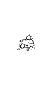 CC1(C)CON(Cc2ccccc2Cl)C1=O.CCNc1nc(Cl)nc(NC(C)C)n1